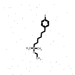 CCO[Si](C)(C)CCCCCCc1ccc(F)cc1